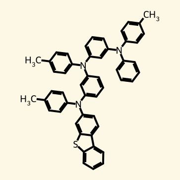 Cc1ccc(N(c2ccccc2)c2cccc(N(c3ccc(C)cc3)c3cccc(N(c4ccc(C)cc4)c4ccc5c(c4)sc4ccccc45)c3)c2)cc1